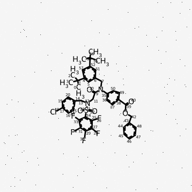 CC(C)(C)c1cc(CN(C(=O)CN(Cc2ccc(Cl)cc2)S(=O)(=O)c2c(F)c(F)c(F)c(F)c2F)c2ccc(C(=O)OCc3ccccc3)cc2)cc(C(C)(C)C)c1